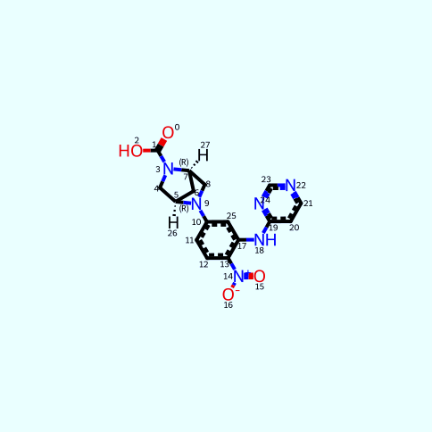 O=C(O)N1C[C@H]2C[C@@H]1CN2c1ccc([N+](=O)[O-])c(Nc2ccncn2)c1